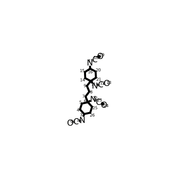 O=C=NC1CCC(CCCC2(N=C=O)CCC(N=C=O)CC2)(N=C=O)CC1